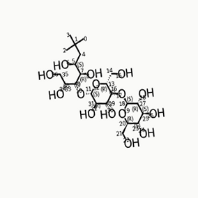 CC(C)(C)C[C@H](O)[C@@H](O)[C@H](O[C@@H]1O[C@H](CO)[C@@H](O[C@@H]2O[C@H](CO)[C@@H](O)[C@H](O)[C@H]2O)[C@H](O)[C@H]1O)[C@H](O)CO